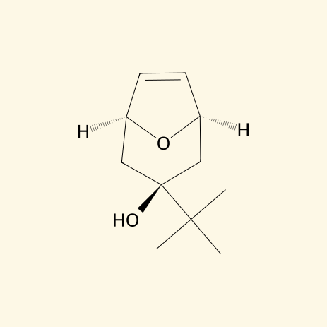 CC(C)(C)[C@]1(O)C[C@H]2C=C[C@@H](C1)O2